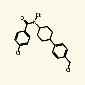 CCN(C(=O)c1ccc(Cl)cc1)C1CCC(c2ccc(CCl)cc2)CC1